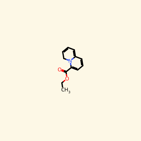 CCOC(=O)C1=CC=CC2=CC=CCN21